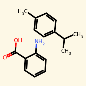 Cc1ccc(C(C)C)cc1.Nc1ccccc1C(=O)O